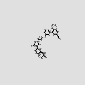 COc1ccc(C#N)cc1-c1cccc(CNCC[C@H]2CN(c3ccc4c(n3)NC(=O)CO4)C(=O)O2)c1